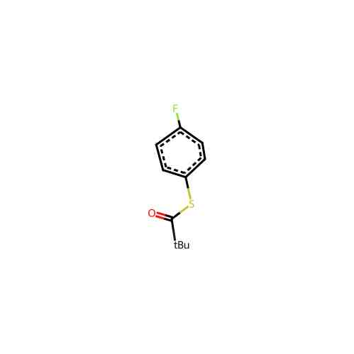 CC(C)(C)C(=O)Sc1ccc(F)cc1